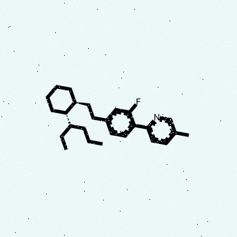 CCCC(CC)[C@@H]1CCCC[C@H]1CCc1ccc(-c2ccc(C)cn2)c(F)c1